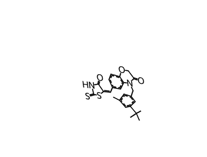 Cc1cc(CN2C(=O)COc3ccc(C=C4SC(=S)NC4=O)cc32)cc(C(C)(C)C)c1